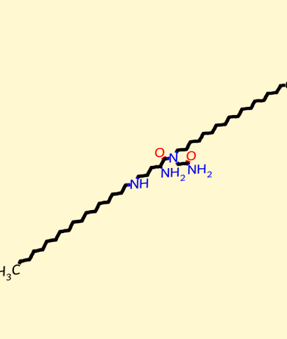 CCCCCCCCCCCCCCCCCCNCCC[C@H](N)C(=O)N(CCCCCCCCCCCCCCCCCC)CC(N)=O